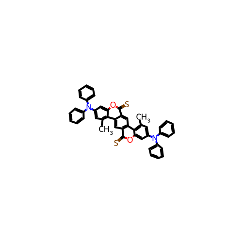 Cc1cc(N(c2ccccc2)c2ccccc2)cc2oc(=S)c3cc4c(cc3c12)c(=S)oc1cc(N(c2ccccc2)c2ccccc2)cc(C)c14